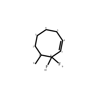 CC1CCCC/C=C\C1(F)F